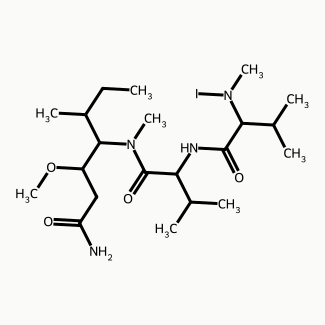 CCC(C)C(C(CC(N)=O)OC)N(C)C(=O)C(NC(=O)C(C(C)C)N(C)I)C(C)C